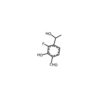 CC(O)c1ccc(C=O)c(O)c1F